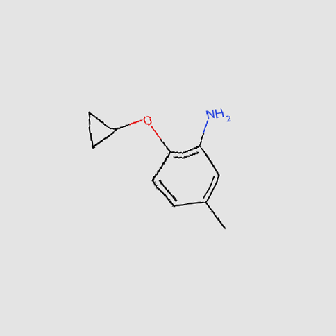 Cc1ccc(OC2CC2)c(N)c1